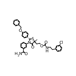 C[C@]1(CCOC(=O)NCCc2cccc(Cl)c2)S[C@@H](c2ccc(OCc3ccccc3)cc2)N(c2cccc(C(N)=O)c2)C1=O